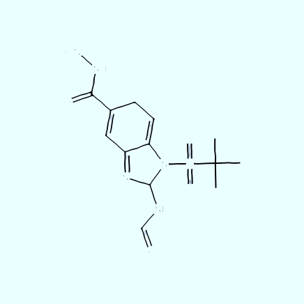 CC(C)(C)S(=O)(=O)N1C2=CCC(C(=O)NN)=CC2=NC1NC=O